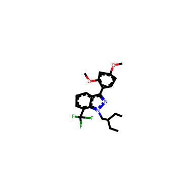 CCC(CC)Cn1nc(-c2ccc(OC)cc2OC)c2cccc(C(F)(F)F)c21